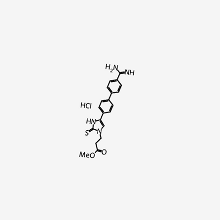 COC(=O)CCn1cc(-c2ccc(-c3ccc(C(=N)N)cc3)cc2)[nH]c1=S.Cl